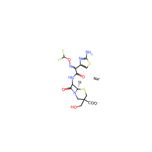 Nc1nc(C(=NOC(F)F)C(=O)NC2C(=O)N3CC(CO)(C(=O)[O-])CS[C@H]23)cs1.[Na+]